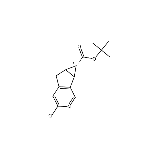 CC(C)(C)OC(=O)[C@H]1C2Cc3cc(Cl)ncc3C21